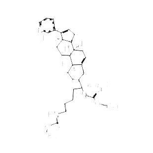 CC(C)(C)OC(=O)NCCCC[C@@](NC(=O)OC(C)(C)C)(C(=O)O)[C@H]1CC[C@@]2(C)C(=CC[C@@H]3[C@@H]2CC[C@]2(C)C(c4cccnc4)=CC[C@@H]32)C1